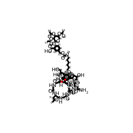 CC[C@H](C)C1NC(=O)CNC(=O)[C@@H]2Cc3c([nH]c4cc(OCCCCCCN(C)C(=O)OCc5ccc(O[C@@H]6OC[C@@H](OC(C)=O)[C@H](OC(C)=O)[C@H]6OC(C)=O)c(C(=O)O)c5)ccc34)[S+]([O-])C[C@H](NC(=O)CNC1=O)C(=O)N[C@@H](CC(N)=O)C(=O)N1C[C@H](O)C[C@H]1C(=O)N[C@@H]([C@@H](C)[C@@H](O)CO)C(=O)N2